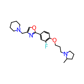 CC1CCCN1CCCOc1ccc(-c2nc(CN3CCCCC3)co2)cc1F